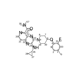 Cc1ccc(OC2CCN(c3nc4c(C(=O)N(C)C)nccc4nc3NC3CC3)CC2)c(F)c1